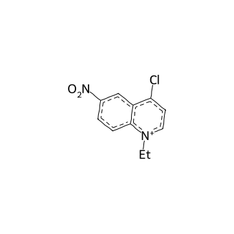 CC[n+]1ccc(Cl)c2cc([N+](=O)[O-])ccc21